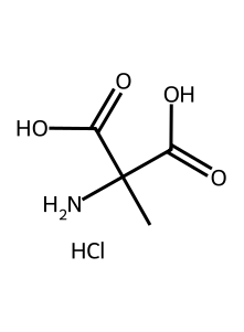 CC(N)(C(=O)O)C(=O)O.Cl